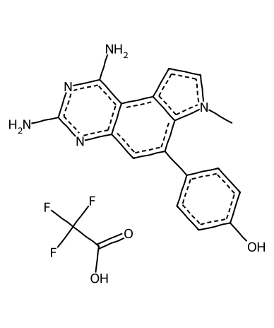 Cn1ccc2c3c(N)nc(N)nc3cc(-c3ccc(O)cc3)c21.O=C(O)C(F)(F)F